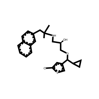 CC(C)(Cc1ccc2ccccc2c1)NC[C@@H](O)COC(c1csc(Cl)c1)C1CC1